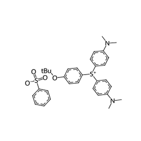 CN(C)c1ccc([S+](c2ccc(OC(C)(C)C)cc2)c2ccc(N(C)C)cc2)cc1.O=S(=O)([O-])c1ccccc1